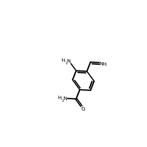 N=Cc1ccc(C(N)=O)cc1N